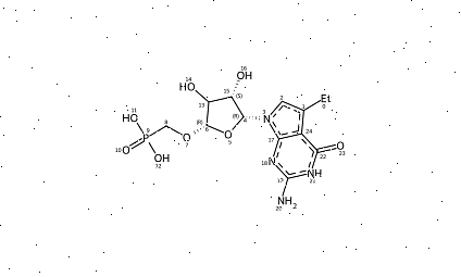 CCc1cn([C@@H]2O[C@H](OCP(=O)(O)O)C(O)[C@@H]2O)c2nc(N)[nH]c(=O)c12